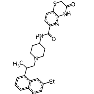 CCc1cnc2cccc(C(C)CN3CCC(NC(=O)c4ccc5c(n4)NC(=O)CS5)CC3)c2c1